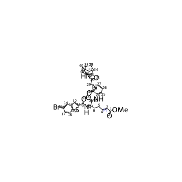 COC(=O)/C=C/CC[C@H](NC(=O)c1cc2cc(Br)ccc2s1)C(=O)Nc1cccn(CC(=O)NC2C3CC4CC(C3)C2C4)c1=O